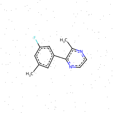 Cc1cc(F)cc(-c2nccnc2C)c1